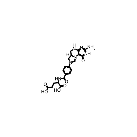 Nc1nc2c(c(=O)[nH]1)N1CN(c3ccc(C(=O)NC(CCC(=O)O)C(=O)O)cc3)C[C@H]1CN2